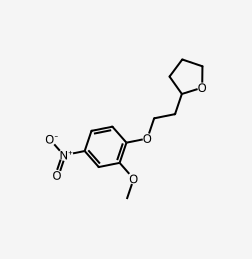 COc1cc([N+](=O)[O-])ccc1OCCC1CCCO1